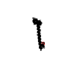 C=CC(CCCCCCCCCCCCCc1cccc2ccccc12)C(C)=O